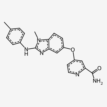 Cc1ccc(Nc2nc3cc(Oc4ccnc(C(N)=O)c4)ccc3n2C)cc1